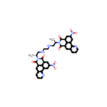 C[C@H](CNCCNC[C@@H](C)N1C(=O)c2cc([N+](=O)[O-])cc3c2c(cc2cccnc23)C1=O)N1C(=O)c2cc([N+](=O)[O-])cc3c2c(cc2cccnc23)C1=O